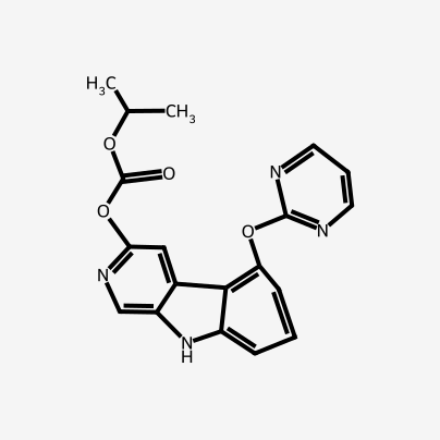 CC(C)OC(=O)Oc1cc2c(cn1)[nH]c1cccc(Oc3ncccn3)c12